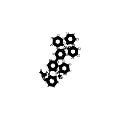 Cc1nc2cccc3c2n1-c1ccc(-c2ccc([Si](c4ccccc4)(c4ccccc4)c4ccccc4)cc2)cc1P3(=O)c1ccccc1